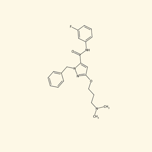 CN(C)CCCOc1cc(C(=O)Nc2cccc(F)c2)n(Cc2ccccc2)n1